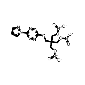 O=[N+]([O-])OCC(COc1nnc(-n2cccn2)nn1)(CO[N+](=O)[O-])CO[N+](=O)[O-]